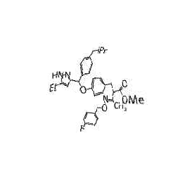 CCc1cc(C(Oc2ccc(CC(C(=O)OC)C(C)=NOCc3ccc(F)cc3)cc2)c2ccc(CC(C)C)cc2)n[nH]1